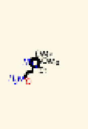 CCc1c(C=CC(N)=O)ccc(OC)c1OC.N